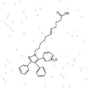 O.O=C(O)CCCC=CCCCCCn1nc(-c2ccccc2)c(-c2ccccc2)c1-c1ccccc1